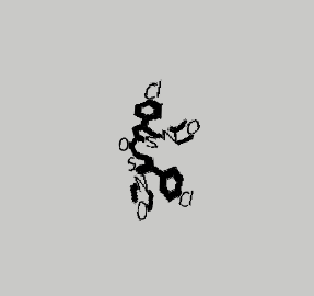 O=C(c1cc(-c2ccc(Cl)cc2)c(N2CCOCC2)s1)c1cc(-c2ccc(Cl)cc2)c(N2CCOCC2)s1